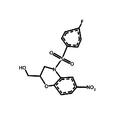 O=[N+]([O-])c1ccc2c(c1)N(S(=O)(=O)c1ccc(F)cc1)CC(CO)O2